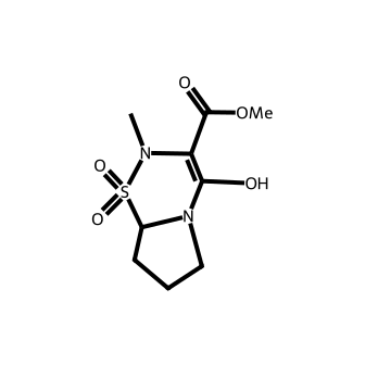 COC(=O)C1=C(O)N2CCCC2S(=O)(=O)N1C